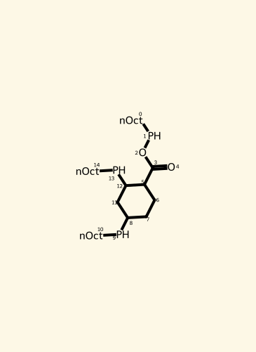 CCCCCCCCPOC(=O)C1CCC(PCCCCCCCC)CC1PCCCCCCCC